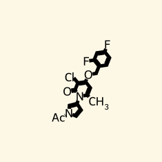 CC(=O)n1ccc(-n2c(C)cc(OCc3ccc(F)cc3F)c(Cl)c2=O)c1